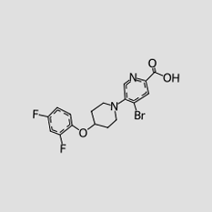 O=C(O)c1cc(Br)c(N2CCC(Oc3ccc(F)cc3F)CC2)cn1